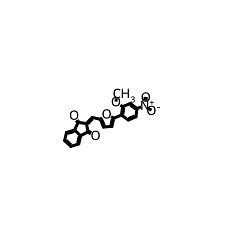 COc1cc([N+](=O)[O-])ccc1-c1ccc(C=C2C(=O)c3ccccc3C2=O)o1